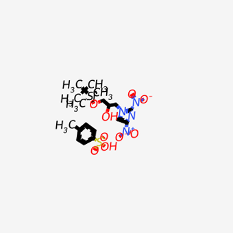 CC(C)(C)[Si](C)(C)OCC(O)Cn1cc([N+](=O)[O-])nc1[N+](=O)[O-].Cc1ccc(S(=O)(=O)O)cc1